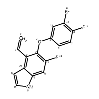 C=Cc1c(Oc2ccc(F)c(Br)c2)c(F)cc2[nH]ccc12